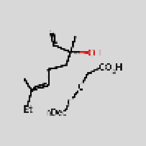 CCCCCCCCCCCCCC(=O)O.[CH]=CC(C)(O)CC/C=C(\C)CC